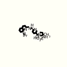 CC(C)Oc1cccc2ccc(C=NNc3ccc([C@H](N4CC[C@](C)(NC(=O)O)C4)C(F)(F)F)cn3)nc12